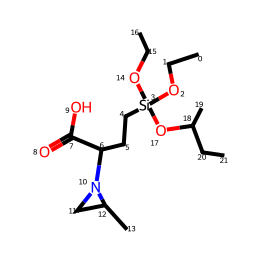 CCO[Si](CCC(C(=O)O)N1CC1C)(OCC)OC(C)CC